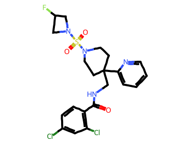 O=C(NCC1(c2ccccn2)CCN(S(=O)(=O)N2CC(F)C2)CC1)c1ccc(Cl)cc1Cl